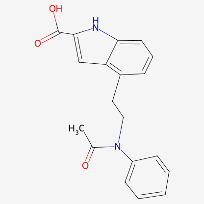 CC(=O)N(CCc1cccc2[nH]c(C(=O)O)cc12)c1ccccc1